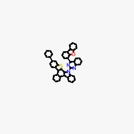 c1ccc(-c2ccc3c(c2)sc2c3c3ccccc3c3c4ccccc4n(-c4nc(-c5cccc6c5oc5ccccc56)c5ccccc5n4)c23)cc1